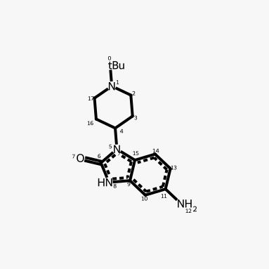 CC(C)(C)N1CCC(n2c(=O)[nH]c3cc(N)ccc32)CC1